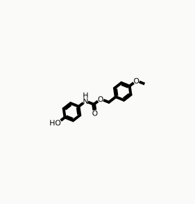 COc1ccc(COC(=O)Nc2ccc(O)cc2)cc1